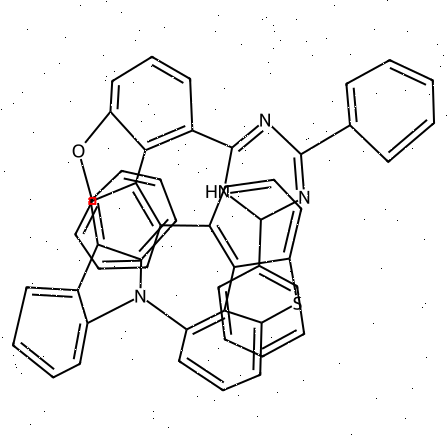 c1ccc(C2=NC(c3ccccc3)NC(c3cccc4oc5cccc(-c6cccc7sc8cccc(-n9c%10ccccc%10c%10ccccc%109)c8c67)c5c34)=N2)cc1